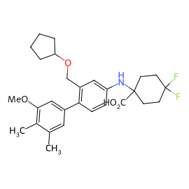 COc1cc(-c2ccc(NC3(C(=O)O)CCC(F)(F)CC3)cc2COC2CCCC2)cc(C)c1C